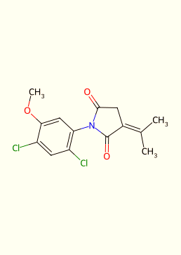 COc1cc(N2C(=O)CC(=C(C)C)C2=O)c(Cl)cc1Cl